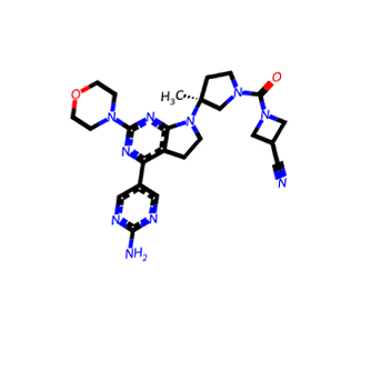 C[C@]1(N2CCc3c(-c4cnc(N)nc4)nc(N4CCOCC4)nc32)CCN(C(=O)N2CC(C#N)C2)C1